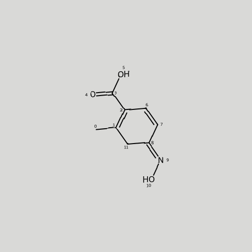 CC1=C(C(=O)O)C=CC(=NO)C1